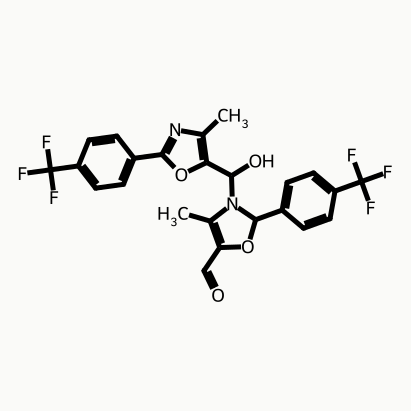 CC1=C(C=O)OC(c2ccc(C(F)(F)F)cc2)N1C(O)c1oc(-c2ccc(C(F)(F)F)cc2)nc1C